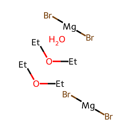 CCOCC.CCOCC.O.[Br][Mg][Br].[Br][Mg][Br]